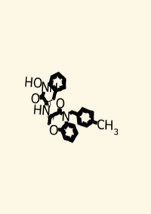 Cc1ccc(CN2C(=O)[C@@H](N[C@@H](Cc3ccccc3)C(=O)NO)COc3ccccc32)cc1